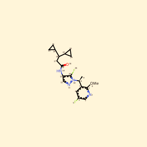 COc1ncc(F)cc1[C@H](C)n1ncc(NC(=O)CC(C2CC2)C2CC2)c1F